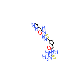 NC(=S)NNC(=O)CC1CCC(c2nnc(NC(=O)Cc3ccncn3)s2)C1